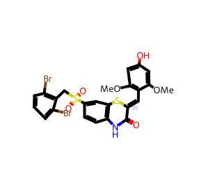 COc1cc(O)cc(OC)c1/C=C1\Sc2cc(S(=O)(=O)Cc3c(Br)cccc3Br)ccc2NC1=O